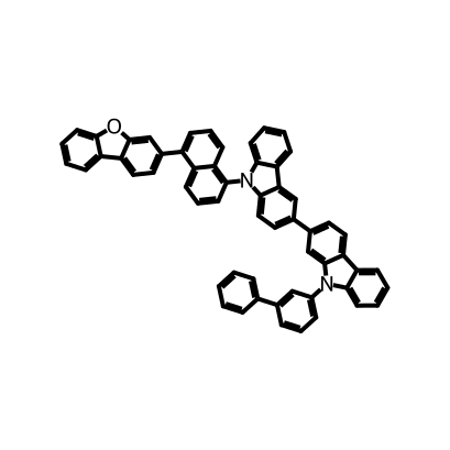 c1ccc(-c2cccc(-n3c4ccccc4c4ccc(-c5ccc6c(c5)c5ccccc5n6-c5cccc6c(-c7ccc8c(c7)oc7ccccc78)cccc56)cc43)c2)cc1